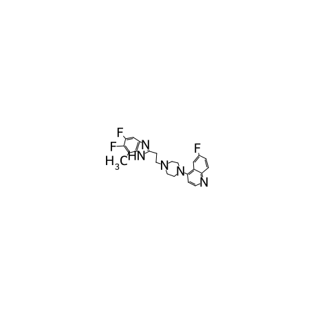 Cc1c(F)c(F)cc2nc(CCN3CCN(c4ccnc5ccc(F)cc45)CC3)[nH]c12